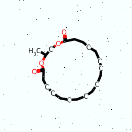 CC1COC(=O)CCCCCCCCCCCCCCCCC(=O)O1